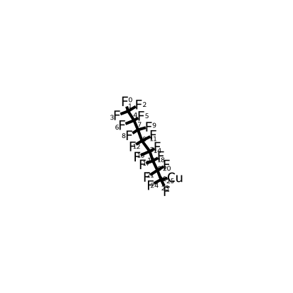 FC(F)(F)C(F)(F)C(F)(F)C(F)(F)C(F)(F)C(F)(F)C(F)(F)[C](F)(F)[Cu]